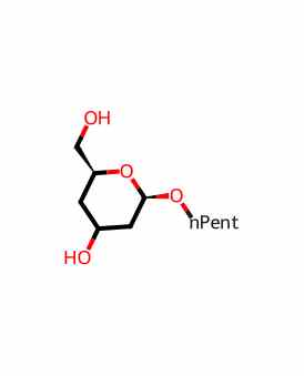 CCCCCO[C@H]1CC(O)C[C@@H](CO)O1